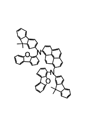 CC1(C)c2ccccc2-c2ccc(N(c3ccc4ccc5ccc(N(c6ccc7c(c6)C(C)(C)c6ccccc6-7)c6cccc7c6oc6ccccc67)c6ccc3c4c56)c3cccc4c3oc3ccccc34)cc21